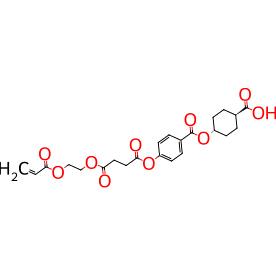 C=CC(=O)OCCOC(=O)CCC(=O)Oc1ccc(C(=O)O[C@H]2CC[C@H](C(=O)O)CC2)cc1